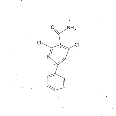 NC(=O)c1c(Cl)cc(-c2ccccc2)nc1Cl